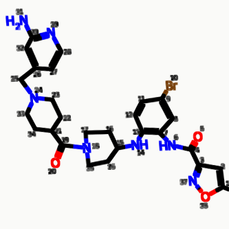 Cc1cc(C(=O)Nc2cc(Br)ccc2NC2CCN(C(=O)C3CCN(Cc4ccnc(N)c4)CC3)CC2)no1